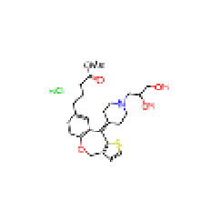 COC(=O)CCCc1ccc2c(c1)C(=C1CCN(CC(O)CO)CC1)c1sccc1CO2.Cl